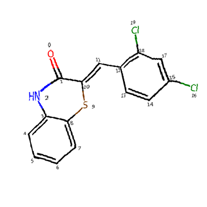 O=C1Nc2ccccc2SC1=Cc1ccc(Cl)cc1Cl